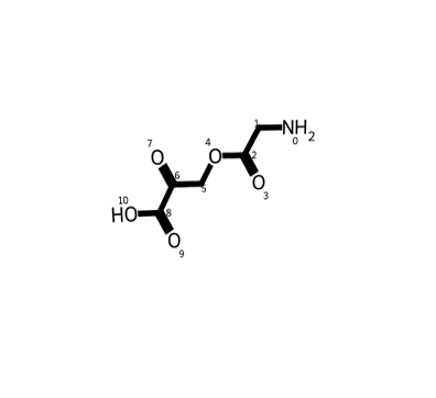 NCC(=O)OCC(=O)C(=O)O